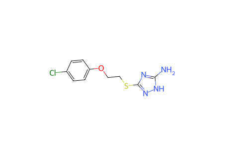 Nc1nc(SCCOc2ccc(Cl)cc2)n[nH]1